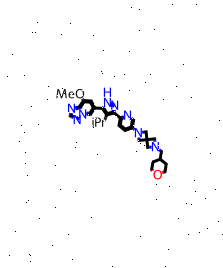 COc1cc(-c2[nH]nc(-c3ccc(N4CC5(CN(CC6CCOCC6)C5)C4)cn3)c2C(C)C)cn2ncnc12